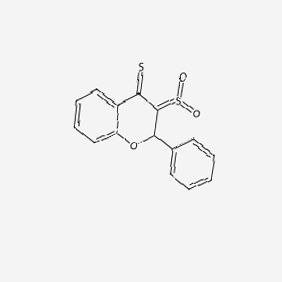 O=S(=O)=C1C(=S)c2ccccc2OC1c1ccccc1